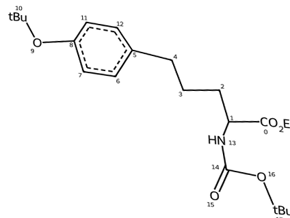 CCOC(=O)C(CCCc1ccc(OC(C)(C)C)cc1)NC(=O)OC(C)(C)C